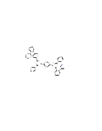 C/C=C\C(=C/C)c1ccccc1-c1nc(-c2ccccc2)nc(-c2ccc(-c3nc(C4=CC5=C(CC4)c4ccccc4C54CCCCC4)nc(-c4ccccc4)n3)cc2)n1